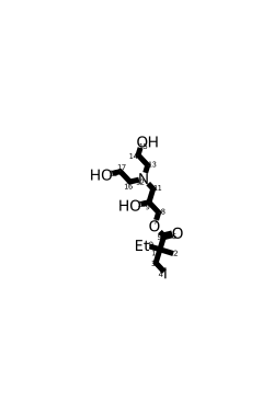 CCC(C)(CI)C(=O)OCC(O)CN(CCO)CCO